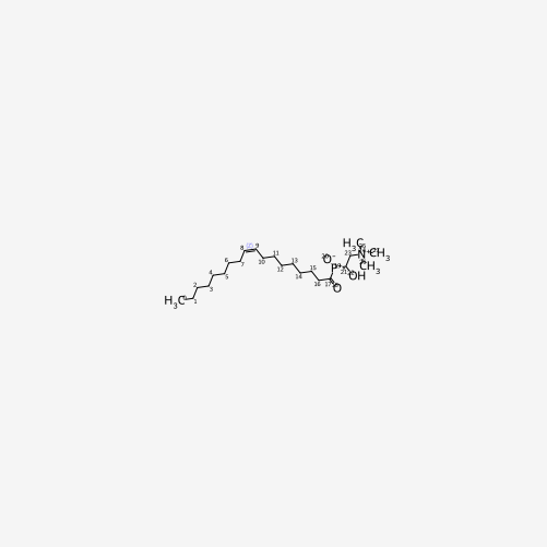 CCCCCCCC/C=C\CCCCCCCC(=O)[P+]([O-])=C(O)C[N+](C)(C)C